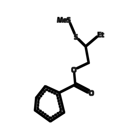 CCC(COC(=O)c1ccccc1)SSC